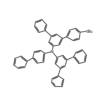 CC(C)(C)c1ccc(-c2cc(-c3ccccc3)cc(N(c3ccc(-c4ccccc4)cc3)c3cc(-c4ccccc4)cc(-c4ccccc4)c3)c2)cc1